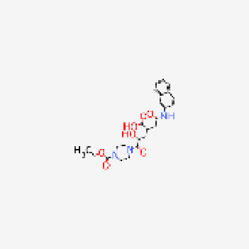 CCOC(=O)N1CCN(C(=O)C(O)CC(CC(=O)Nc2ccc3ccccc3c2)C(=O)O)CC1